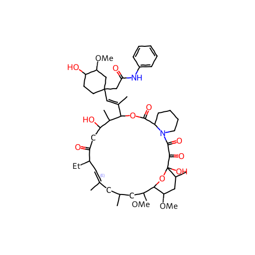 CCC1/C=C(\C)CC(C)CC(OC)C2OC(O)(C(=O)C(=O)N3CCCCC3C(=O)OC(C(C)=CC3(CC(=O)Nc4ccccc4)CCC(O)C(OC)C3)C(C)C(O)CC1=O)C(C)CC2OC